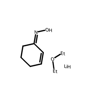 CCOCC.O/N=C1\C=CCCC1.[LiH]